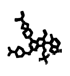 C=CC(=O)N1CC2(CCN(c3nc(OC4CCC(N(C)C)CC4)nc4c(OCC(F)(F)F)c(-c5c(C)ccc6[nH]ncc56)c(C=C)cc34)CC2)C1